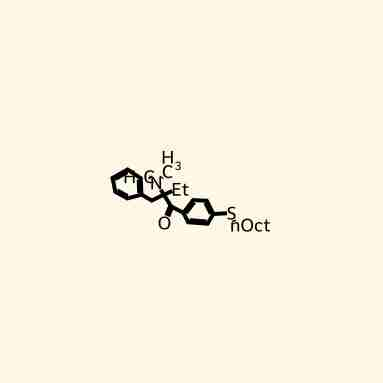 CCCCCCCCSc1ccc(C(=O)C(CC)(Cc2ccccc2)N(C)C)cc1